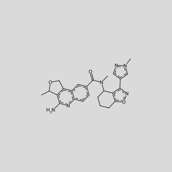 CC1OCc2c1c(N)nc1ccc(C(=O)N(C)C3CCCc4onc(-c5cnn(C)c5)c43)cc21